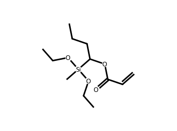 C=CC(=O)OC(CCC)[Si](C)(OCC)OCC